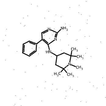 CN1C(C)(C)CC(Nc2nc(N)ncc2-c2ccccc2)CC1(C)C